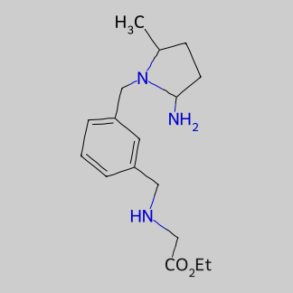 CCOC(=O)CNCc1cccc(CN2C(C)CCC2N)c1